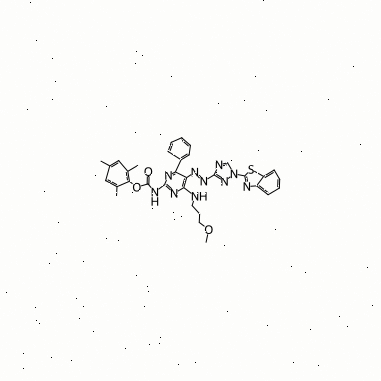 COCCCNc1nc(NC(=O)Oc2c(C)cc(C)cc2C)nc(-c2ccccc2)c1N=Nc1ncn(-c2nc3ccccc3s2)n1